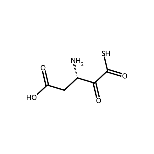 N[C@@H](CC(=O)O)C(=O)C(=O)S